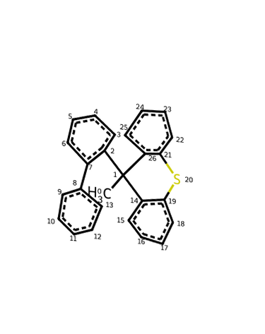 CC1(c2ccccc2-c2ccccc2)c2ccccc2Sc2ccccc21